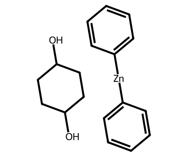 OC1CCC(O)CC1.c1cc[c]([Zn][c]2ccccc2)cc1